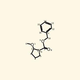 COC1CCCN1C(=O)OCc1ccccc1